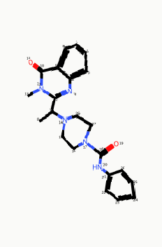 CC(c1nc2ccccc2c(=O)n1C)N1CCN(C(=O)Nc2ccccc2)CC1